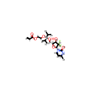 C=CC(=O)OCCO[Si](OC[C@H]1O[C@@H](n2ccc(C)nc2=O)C(F)(F)[C@@H]1O)(C(C)C)C(C)C